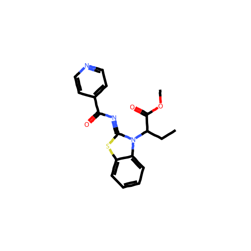 CCC(C(=O)OC)n1c(=NC(=O)c2ccncc2)sc2ccccc21